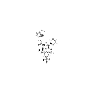 CCc1ncc(CCC(=O)N2CC[C@H](O[C@H](C)c3cc(C(F)(F)F)cc(C(F)(F)F)c3)[C@H](c3ccccc3)C2)[nH]1